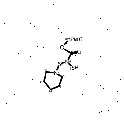 CCCCCOC(=O)N(S)SN1CCCCC1